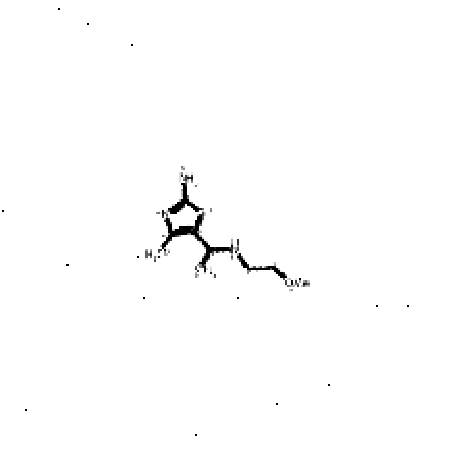 COCCNC(C)c1sc(N)nc1C